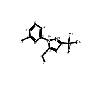 CCc1cc(C(F)(F)F)nn1-c1cc[c]c(C)c1